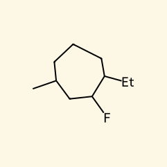 CCC1CCCC(C)CC1F